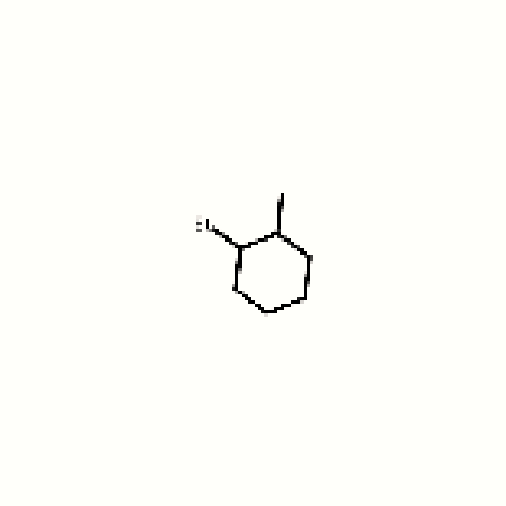 [CH2]C1CCCCC1CC